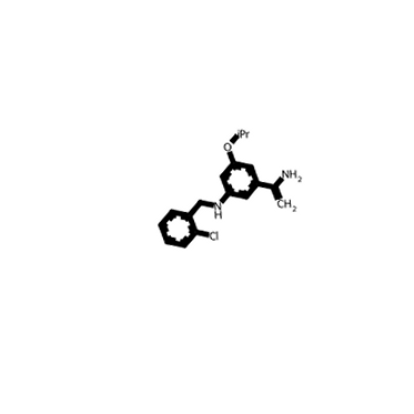 C=C(N)c1cc(NCc2ccccc2Cl)cc(OC(C)C)c1